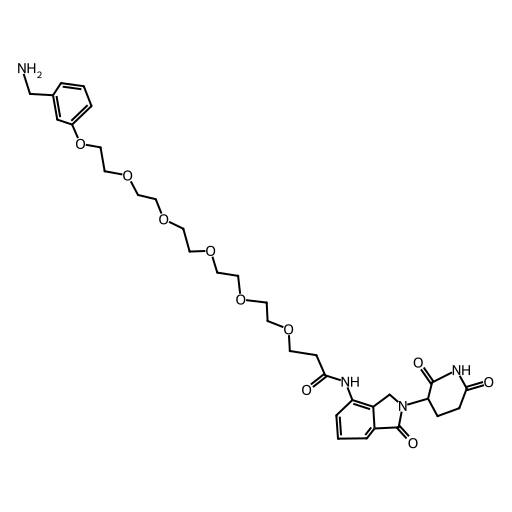 NCc1cccc(OCCOCCOCCOCCOCCOCCC(=O)Nc2cccc3c2CN(C2CCC(=O)NC2=O)C3=O)c1